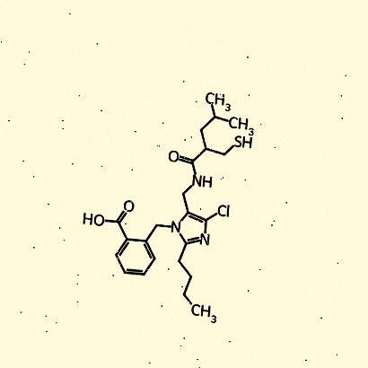 CCCCc1nc(Cl)c(CNC(=O)C(CS)CC(C)C)n1Cc1ccccc1C(=O)O